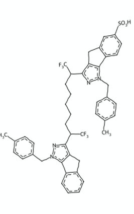 Cc1ccc(Cn2nc(C(CCCCCC(c3nn(Cc4ccc(C)cc4)c4c3Cc3cc(S(=O)(=O)O)ccc3-4)C(F)(F)F)C(F)(F)F)c3c2-c2ccccc2C3)cc1